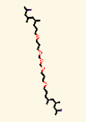 CC(I)CC(C)CC(C)CCCOCCCOCOCOCCCOCCCC(C)CC(C)CC(C)I